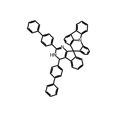 c1ccc(-c2ccc(C3=NC4=C(c5ccccc5C45c4ccccc4-n4c6ccccc6c6cccc5c64)C(c4ccc(-c5ccccc5)cc4)N3)cc2)cc1